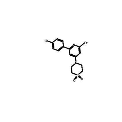 CC(C)c1cc(N2CCS(=O)(=O)CC2)nc(-c2ccc(Cl)cc2)n1